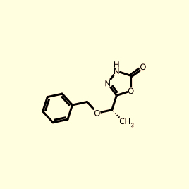 C[C@H](OCc1ccccc1)c1n[nH]c(=O)o1